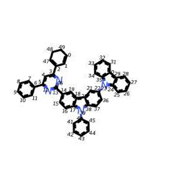 C1=CC(c2cc(-c3ccccc3)nc(-c3ccc4c(c3)c3cc(-n5c6ccccc6c6ccccc65)ccc3n4-c3ccccc3)n2)=CCC1